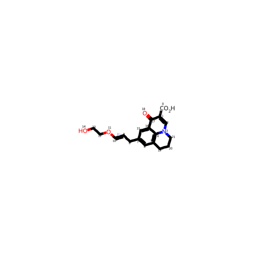 O=C(O)c1cn2c3c(cc(C/C=C/OCCO)cc3c1=O)CCC2